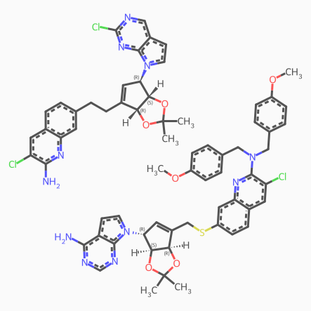 CC1(C)O[C@@H]2[C@H](O1)C(CCc1ccc3cc(Cl)c(N)nc3c1)=C[C@H]2n1ccc2cnc(Cl)nc21.COc1ccc(CN(Cc2ccc(OC)cc2)c2nc3cc(SCC4=C[C@@H](n5ccc6c(N)ncnc65)[C@@H]5OC(C)(C)O[C@H]45)ccc3cc2Cl)cc1